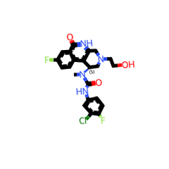 CN(C(=O)Nc1ccc(F)c(Cl)c1)[C@@H]1CN(CCO)Cc2[nH]c(=O)c3cc(F)ccc3c21